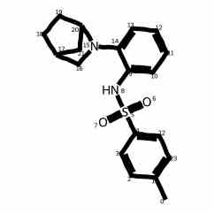 Cc1ccc(S(=O)(=O)Nc2ccccc2N2CC3CCC2C3)cc1